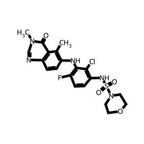 Cc1c(Nc2c(F)ccc(NS(=O)(=O)N3CCOCC3)c2Cl)ccc2ncn(C)c(=O)c12